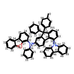 CC1C=CC(C2(c3ccccc3)c3cc(N(c4ccccc4)c4cccc5c4oc4ccccc45)ccc3-c3c(-n4c5ccccc5c5ccccc54)cccc32)=CC1